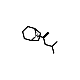 C=C(CC(C)C)N1C2CCCC1CC2